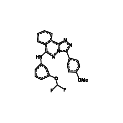 COc1ccc(-c2nnc3c4ccccc4c(Nc4cccc(OC(F)F)c4)nn23)cc1